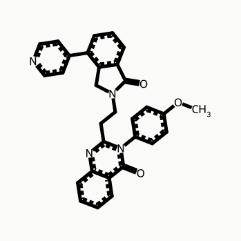 COc1ccc(-n2c(CCN3Cc4c(cccc4-c4ccncc4)C3=O)nc3ccccc3c2=O)cc1